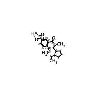 CCN1CCCC1CN(C)C(=O)c1cc(S(N)(=O)=O)ccc1OC